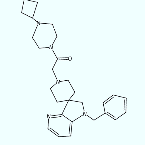 O=C(CN1CCC2(CC1)CN(Cc1ccccc1)c1cccnc12)N1CCN(C2CCC2)CC1